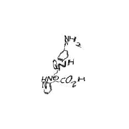 NN=Cc1ccc(NC(=O)CCC(=O)Nc2ncccc2CCC(=O)O)cc1